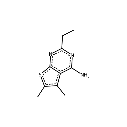 CCc1nc(N)c2c(C)c(C)sc2n1